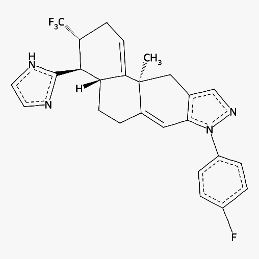 C[C@]12Cc3cnn(-c4ccc(F)cc4)c3C=C1CC[C@H]1C2=CC[C@@H](C(F)(F)F)[C@@H]1c1ncc[nH]1